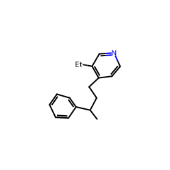 CCc1cnccc1CCC(C)c1ccccc1